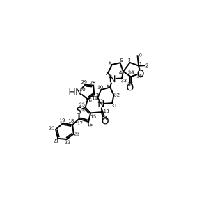 CC1(C)CC2(CCCN(C3CCN(C(=O)c4cc(-c5ccccc5)sc4-c4ccc[nH]4)CC3)C2)C(=O)O1